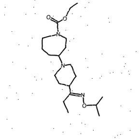 CCOC(=O)N1CCCC(N2CCC(C(CC)=NOC(C)C)CC2)CC1